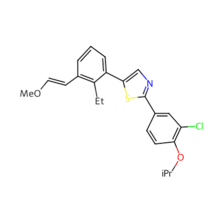 CCc1c(C=COC)cccc1-c1cnc(-c2ccc(OC(C)C)c(Cl)c2)s1